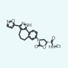 CCNC(=O)[C@H]1CN(c2ccc3c(c2)CCCc2c(-c4ccno4)n[nH]c2-3)C(=O)O1